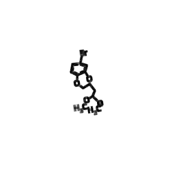 COC(CC1COc2ccc(Br)cc2O1)OC